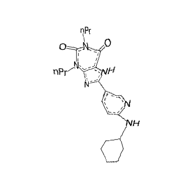 CCCn1c(=O)c2[nH]c(-c3ccc(NC4CCCCC4)nc3)nc2n(CCC)c1=O